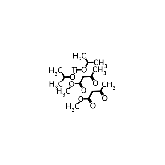 CC(C)[O][Ti][O]C(C)C.COC(=O)CC(C)=O.COC(=O)CC(C)=O